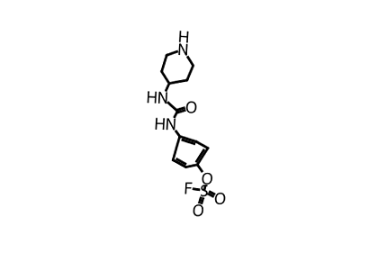 O=C(Nc1ccc(OS(=O)(=O)F)cc1)NC1CCNCC1